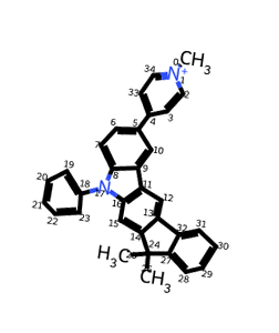 C[n+]1ccc(-c2ccc3c(c2)c2cc4c(cc2n3-c2ccccc2)C(C)(C)c2ccccc2-4)cc1